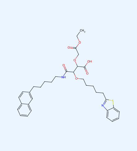 CCOC(=O)COC(C(=O)O)C(OCCCCCc1nc2ccccc2s1)C(=O)NCCCCCc1ccc2ccccc2c1